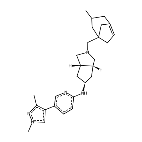 Cc1nn(C)cc1-c1ccc(N[C@H]2C[C@@H]3CN(CC45CC=C(CC(C)C4)C5)C[C@@H]3C2)nc1